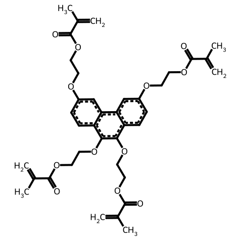 C=C(C)C(=O)OCCOc1ccc2c(OCCOC(=O)C(=C)C)c(OCCOC(=O)C(=C)C)c3ccc(OCCOC(=O)C(=C)C)cc3c2c1